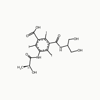 C[C@H](O)C(=O)Nc1c(I)c(C(=O)O)c(I)c(C(=O)NC(CO)CO)c1I